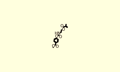 C=C(C)C(=O)OCCNC(=O)Oc1ccc(C(=O)OC)cc1